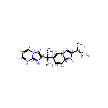 CC(C)c1cn2cc(C(C)(C)c3cn4cccnc4n3)ccc2n1